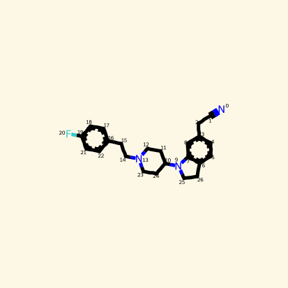 N#CCc1ccc2c(c1)N(C1CCN(CCc3ccc(F)cc3)CC1)CC2